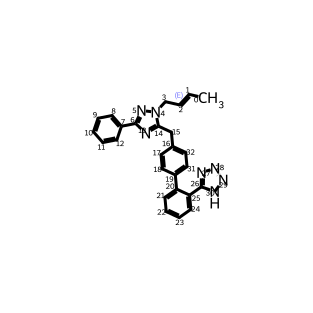 C/C=C/Cn1nc(-c2ccccc2)nc1Cc1ccc(-c2ccccc2-c2nnn[nH]2)cc1